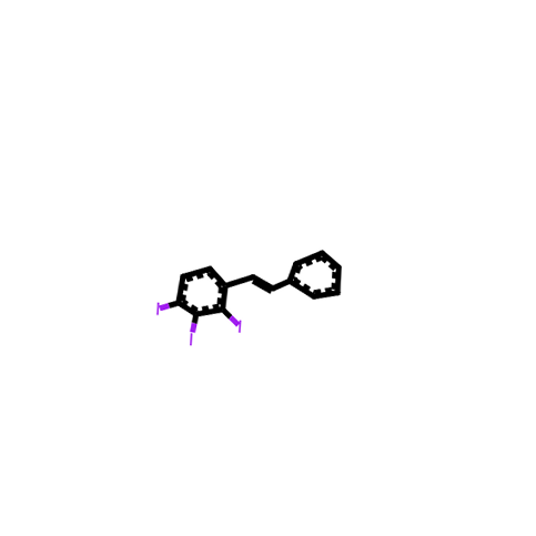 Ic1ccc(C=Cc2ccccc2)c(I)c1I